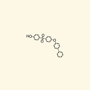 O=S(=O)(c1ccc(O)cc1)c1ccc(Oc2ccc(-c3ccccc3)cc2)cc1